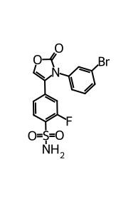 NS(=O)(=O)c1ccc(-c2coc(=O)n2-c2cccc(Br)c2)cc1F